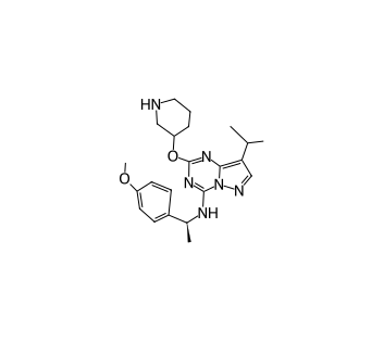 COc1ccc([C@H](C)Nc2nc(OC3CCCNC3)nc3c(C(C)C)cnn23)cc1